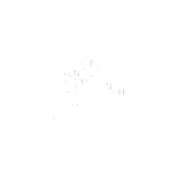 C[N+]1(CCOCCOCCCl)CCCC1.O=S(=O)([N-]S(=O)(=O)C(F)(F)F)C(F)(F)F